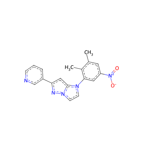 Cc1cc([N+](=O)[O-])cc(-n2ccn3nc(-c4cccnc4)cc23)c1C